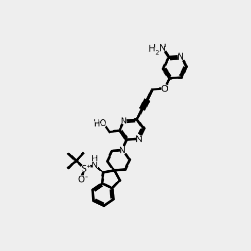 CC(C)(C)[S+]([O-])N[C@@H]1c2ccccc2CC12CCN(c1ncc(C#CCOc3ccnc(N)c3)nc1CO)CC2